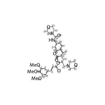 COc1cc(/C=C/C(=O)OC(Cc2c(C)c3ccc(NC(=O)N4CCOCC4)cc3oc2=O)CN2CCOCC2)cc(OC)c1OC